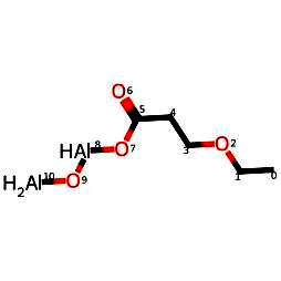 CCOCCC(=O)[O][AlH][O][AlH2]